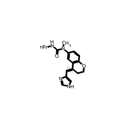 CCCNC(=O)N(C)c1ccc2c(c1)/C(=C/c1c[nH]cn1)CCO2